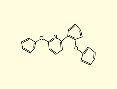 [c]1cccc(Oc2ccccc2)c1-c1cccc(Oc2ccccc2)n1